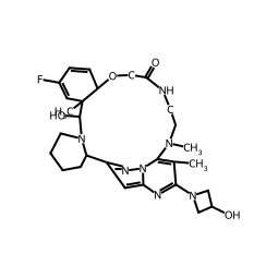 Cc1c(N2CC(O)C2)nc2cc3nn2c1N(C)CCNC(=O)COC1C=CC(F)=CC1(C)C(O)N1CCCCC31